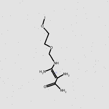 NC(=O)/C(N)=C(\N)NCOCCOI